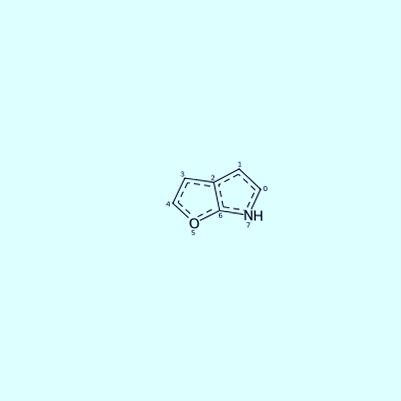 c1cc2ccoc2[nH]1